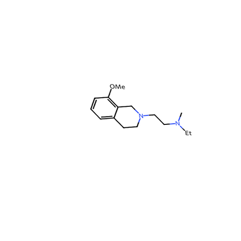 CCN(C)CCN1CCc2cccc(OC)c2C1